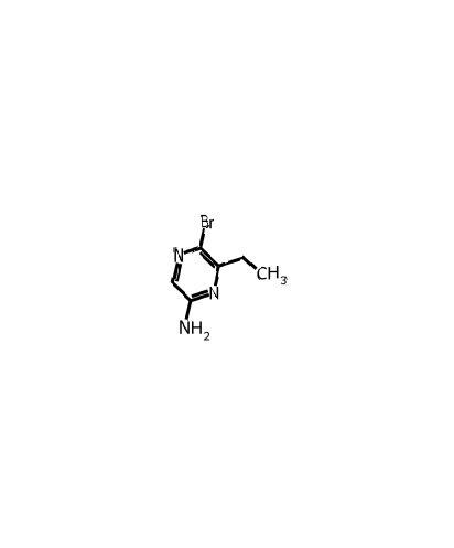 CCc1nc(N)cnc1Br